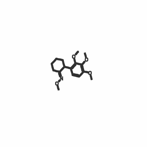 CON=C1CCCCC1c1ccc(OC)c(OC)c1OC